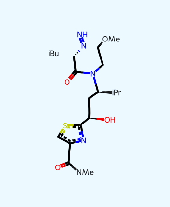 CC[C@H](C)[C@H](N=N)C(=O)N(CCOC)[C@H](C[C@@H](O)c1nc(C(=O)NC)cs1)C(C)C